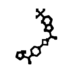 O=C(c1ccc[nH]1)N1CCN(C2CN(C(=O)c3cc4ccc(C(F)(F)F)nc4o3)C2)CC1